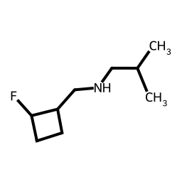 CC(C)CNCC1CCC1F